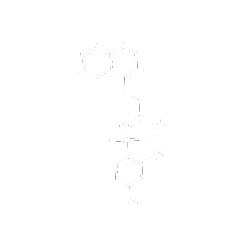 Cc1ccc(S(=O)(=O)N[C@@H](C)COc2cccc3cnccc23)c(C)c1